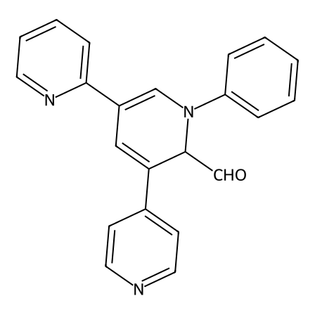 O=CC1C(c2ccncc2)=CC(c2ccccn2)=CN1c1ccccc1